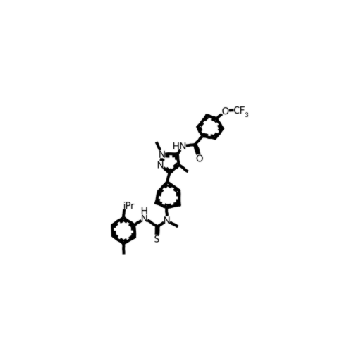 Cc1ccc(C(C)C)c(NC(=S)N(C)c2ccc(-c3nn(C)c(NC(=O)c4ccc(OC(F)(F)F)cc4)c3C)cc2)c1